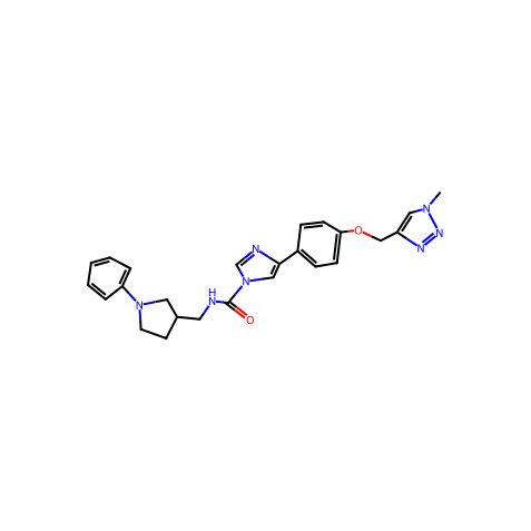 Cn1cc(COc2ccc(-c3cn(C(=O)NCC4CCN(c5ccccc5)C4)cn3)cc2)nn1